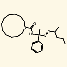 CCCC(C)N=NC(C)(NC(=O)N1CCCCCCCCCCC1)c1ccccc1